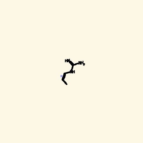 C/C=C\NC(=N)N